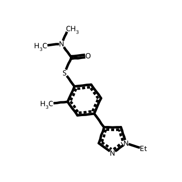 CCn1cc(-c2ccc(SC(=O)N(C)C)c(C)c2)cn1